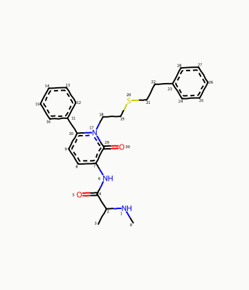 CNC(C)C(=O)Nc1ccc(-c2ccccc2)n(CCSCCc2ccccc2)c1=O